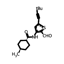 CC(C)(C)C#Cc1cc(NC(=O)[C@H]2CC[C@H](C)CC2)c(C=O)s1